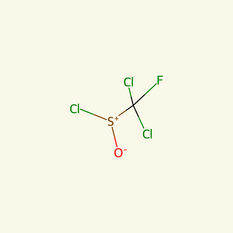 [O-][S+](Cl)C(F)(Cl)Cl